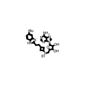 CCN(CC1OC(n2cnc3c(N)ncnc32)C(O)C1O)C1CC(CCc2nc3cc(C(C)(C)C)ccc3[nH]2)C1